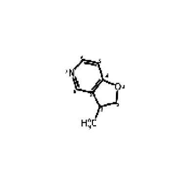 CC1COc2ccncc21